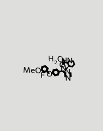 C=CC(=O)C1NCCC[C@H]1c1nc(-c2ccc(Oc3cccc(OC)c3F)cc2)c2cnccn12